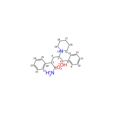 NC(=O)C(CC(C(O)c1ccccc1)N1CCCCC1)c1ccccc1